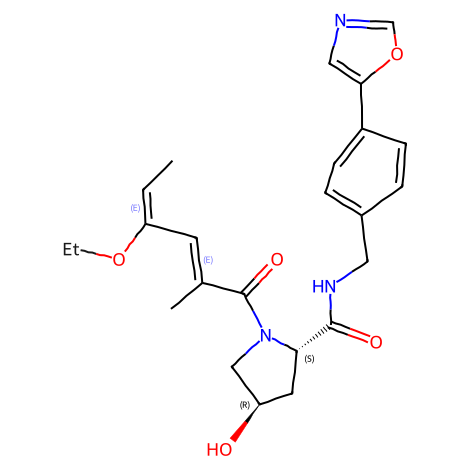 C/C=C(\C=C(/C)C(=O)N1C[C@H](O)C[C@H]1C(=O)NCc1ccc(-c2cnco2)cc1)OCC